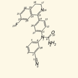 N#Cc1cccc(N(C(N)=O)c2ccc(C3=NCCc4ccc(F)cc43)cc2)c1